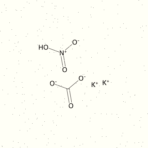 O=C([O-])[O-].O=[N+]([O-])O.[K+].[K+]